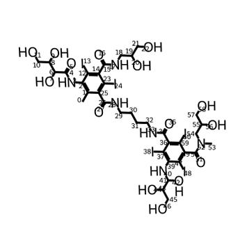 Cc1c(NC(=O)C(O)C(O)CO)c(I)c(C(=O)NCC(O)CO)c(I)c1C(=O)NCCCCNC(=O)c1c(I)c(NC(O)C(O)CO)c(I)c(C(=O)N(C)CC(O)CO)c1I